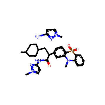 CC1CCC(CC(C(=O)Nc2ccn(C)n2)c2ccc3c(c2)N(C)c2ccccc2S3(=O)=O)CC1.Cn1ccc(N)n1